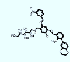 Cc1c(COc2cc(OCc3cccc([N+](=O)[O-])c3)c(CNC[C@H](O)[C@@H](O)[C@H](O)[C@H](O)CO)cc2Cl)cccc1-c1ccc2c(c1)OCCO2